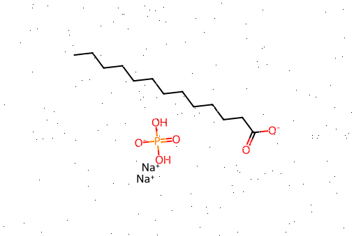 CCCCCCCCCCCCC(=O)[O-].O=P([O-])(O)O.[Na+].[Na+]